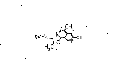 Cc1cnc(OC(C)CCSC2CC2)c2cnc(Cl)cc12